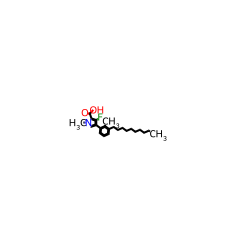 CCCCCCCCCCc1cccc(-c2cn(C)c(C(=O)O)c2F)c1C